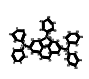 c1ccc(N(c2ccccc2)c2cc3ccc4cc(N(c5ccccc5)c5ccccc5)cc5c4c3c(c2)n5-c2ccccc2)cc1